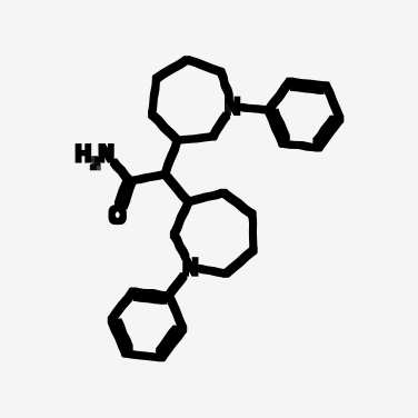 NC(=O)C(C1CCCCN(c2ccccc2)C1)C1CCCCN(c2ccccc2)C1